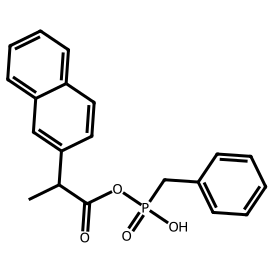 CC(C(=O)OP(=O)(O)Cc1ccccc1)c1ccc2ccccc2c1